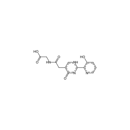 O=C(O)CNC(=O)Cc1c[nH]c(-c2ncccc2O)nc1=O